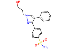 NS(=O)(=O)c1ccc(-c2nn(CCCO)cc2-c2ccccc2)cc1